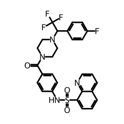 O=C(c1ccc(NS(=O)(=O)c2cccc3cccnc23)cc1)N1CCN(C(c2ccc(F)cc2)C(F)(F)F)CC1